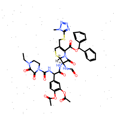 CCN1CCN(C(=O)NC(C(=O)N[C@]2(NC=O)C(=O)N3C(C(=O)OC(c4ccccc4)c4ccccc4)=C(CSc4nnnn4C)CS[C@H]32)c2ccc(OC(C)=O)c(OC(C)=O)c2)C(=O)C1=O